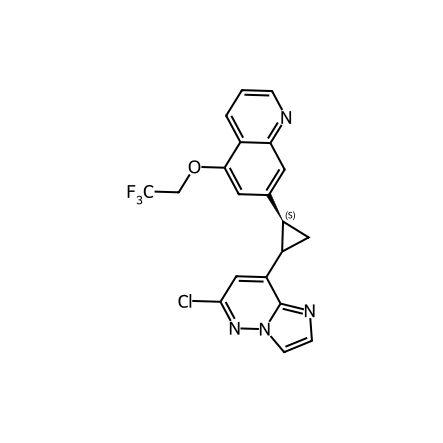 FC(F)(F)COc1cc([C@H]2CC2c2cc(Cl)nn3ccnc23)cc2ncccc12